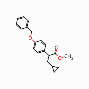 COC(=O)C(CC1CC1)c1ccc(OCc2ccccc2)cc1